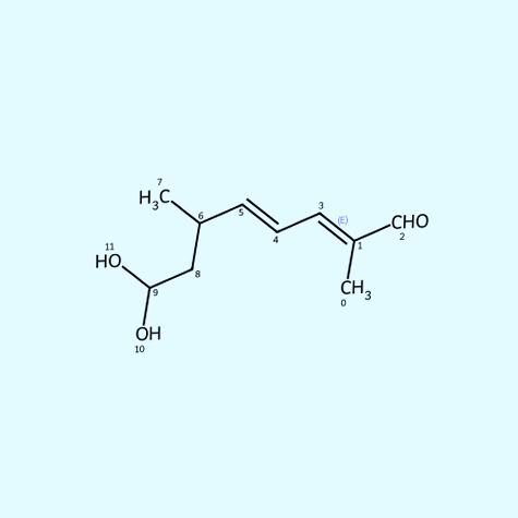 C/C(C=O)=C\C=CC(C)CC(O)O